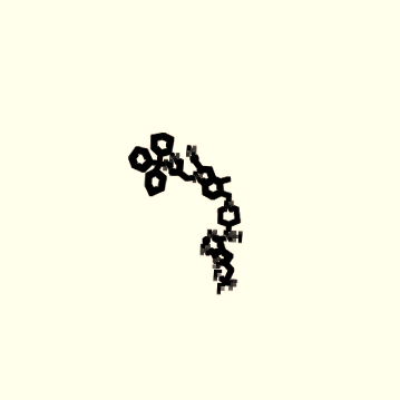 Cc1c(CN2CCC(Nc3ncnc4sc(CC(F)(F)F)cc34)CC2)ccc2c1cc(C#N)n2Cc1cnn(C(c2ccccc2)(c2ccccc2)c2ccccc2)c1